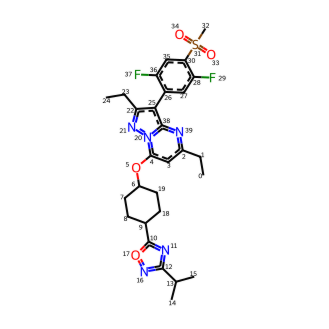 CCc1cc(OC2CCC(c3nc(C(C)C)no3)CC2)n2nc(CC)c(-c3cc(F)c(S(C)(=O)=O)cc3F)c2n1